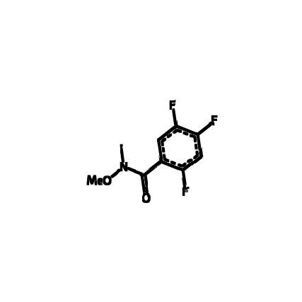 CON(C)C(=O)c1cc(F)c(F)cc1F